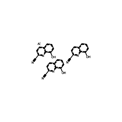 N#Cc1ccc2cccc(O)c2n1.N#Cc1ccc2cccc(O)c2n1.N#Cc1ccc2cccc(O)c2n1.[Al]